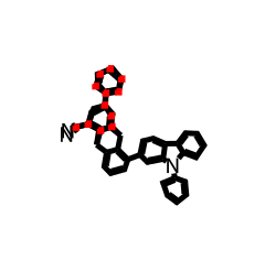 N#Cc1cc(-c2ccccc2)cc2c1C1c3cccc(-c4ccc5c6ccccc6n(-c6ccccc6)c5c4)c3C2c2cc(-c3ccccc3)cc(C#N)c21